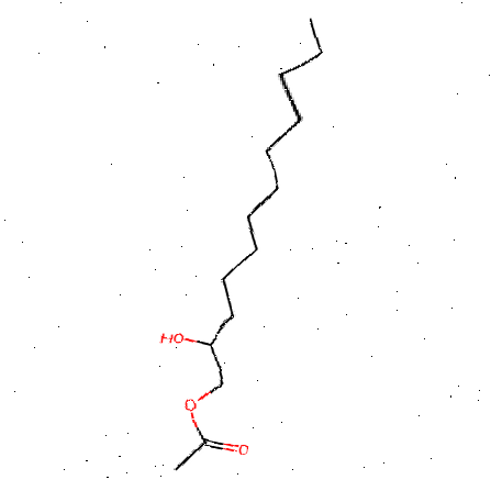 CCCCCCCCCCC(O)COC(C)=O